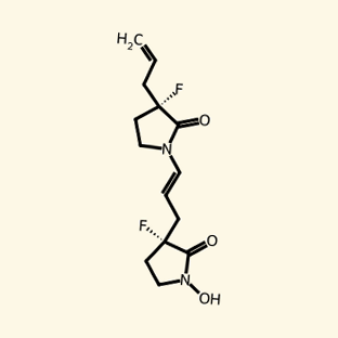 C=CC[C@]1(F)CCN(/C=C/C[C@]2(F)CCN(O)C2=O)C1=O